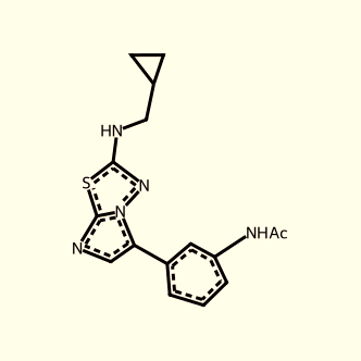 CC(=O)Nc1cccc(-c2cnc3sc(NCC4CC4)nn23)c1